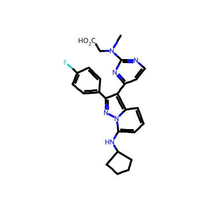 CN(CC(=O)O)c1nccc(-c2c(-c3ccc(F)cc3)nn3c(NC4CCCC4)cccc23)n1